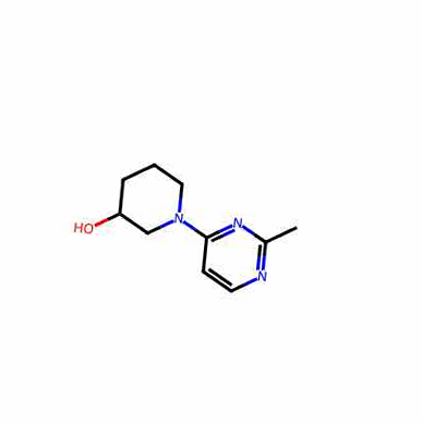 Cc1nccc(N2CCCC(O)C2)n1